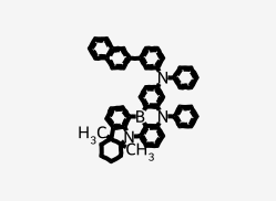 CC12CCCCC1(C)N1c3cccc4c3B(c3ccc(N(c5ccccc5)c5cccc(-c6ccc7ccccc7c6)c5)cc3N4c3ccccc3)c3cccc2c31